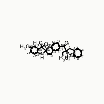 CCC(Cc1ccccc1)(C(=O)c1ccc2c(c1)C=CC1(Nc3ccc(C)cc3C1(C)C)O2)N(C)C